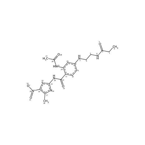 CCC(=O)NCCNc1ccc(C(=O)Nc2nc(C)c([N+](=O)[O-])s2)c(NC(C)=O)c1